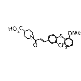 COc1ccccc1Sc1ccc(C=CC(=O)N2CCC(C(=O)O)CC2)cc1C(F)(F)F